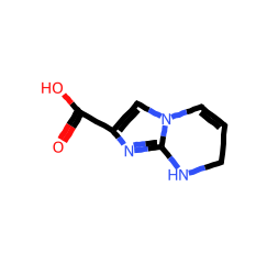 O=C(O)c1cn2c(n1)NCC=C2